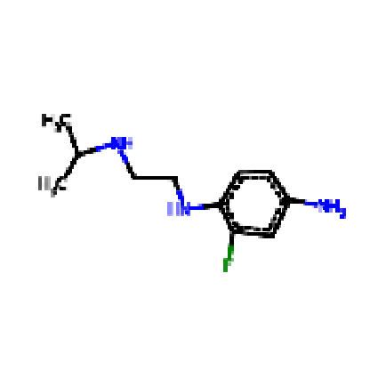 CC(C)NCCNc1ccc(N)cc1F